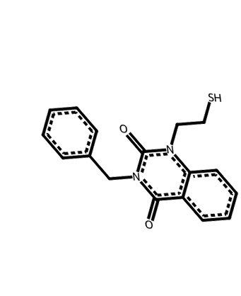 O=c1c2ccccc2n(CCS)c(=O)n1Cc1ccccc1